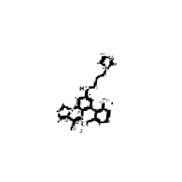 Cc1cccc(Cl)c1-c1cc(NCCCn2ccnc2)cc2c1nc(N)c1cncn12